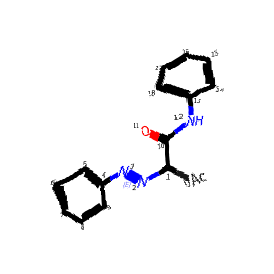 CC(=O)C(/N=N/c1ccccc1)C(=O)Nc1[c]cc[c]c1